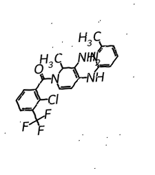 Cc1cccc(NC2=C(N)C(C)N(C(=O)c3cccc(C(F)(F)F)c3Cl)C=C2)n1